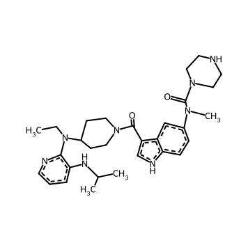 CCN(c1ncccc1NC(C)C)C1CCN(C(=O)c2c[nH]c3ccc(N(C)C(=O)N4CCNCC4)cc23)CC1